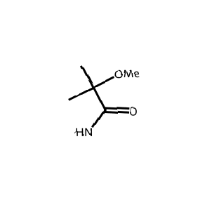 COC(C)(C)C([NH])=O